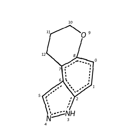 c1cc2[nH]ncc2c2c1OCCC2